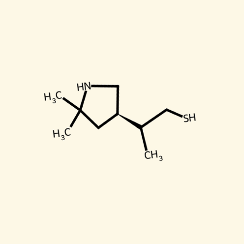 CC(CS)[C@@H]1CNC(C)(C)C1